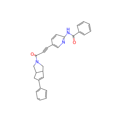 O=C(Nc1ccc(C#CC(=O)N2CC3C=C(c4ccccc4)CC3C2)cn1)c1ccccc1